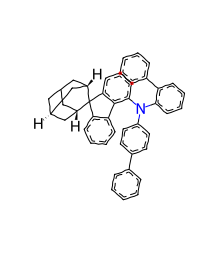 c1ccc(-c2ccc(N(c3ccccc3-c3ccccc3)c3cccc4c3-c3ccccc3C43[C@H]4CC5C[C@H](C4)C[C@@H]3C5)cc2)cc1